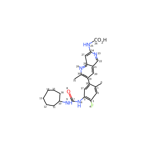 Cc1cc(F)c(NC(=O)NC2CCCCCC2)cc1-c1cc2cnc(NC(=O)O)cc2nc1C